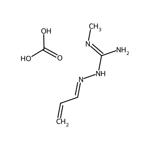 C=CC=NNC(N)=NC.O=C(O)O